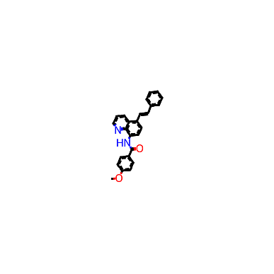 COc1ccc(C(=O)Nc2ccc(C=Cc3ccccc3)c3cccnc23)cc1